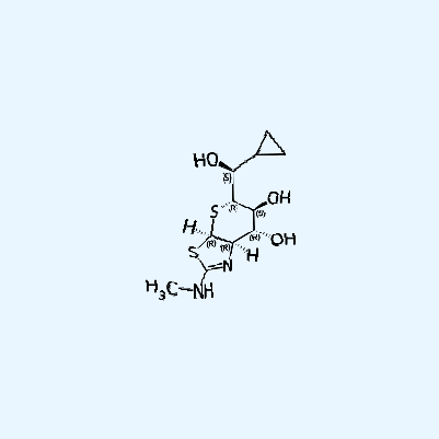 CNC1=N[C@H]2[C@@H](S1)S[C@H]([C@@H](O)C1CC1)[C@@H](O)[C@@H]2O